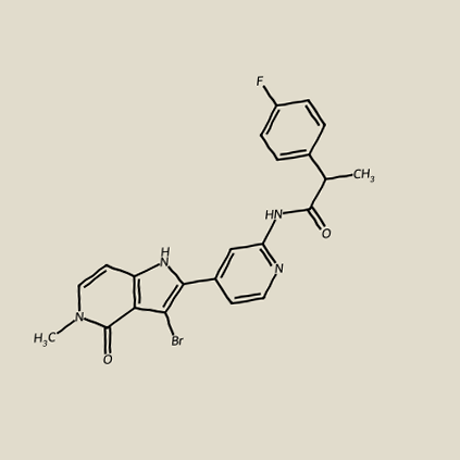 CC(C(=O)Nc1cc(-c2[nH]c3ccn(C)c(=O)c3c2Br)ccn1)c1ccc(F)cc1